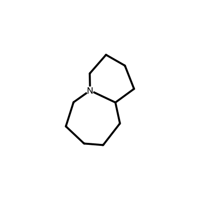 C1CCC2CCCCN2CC1